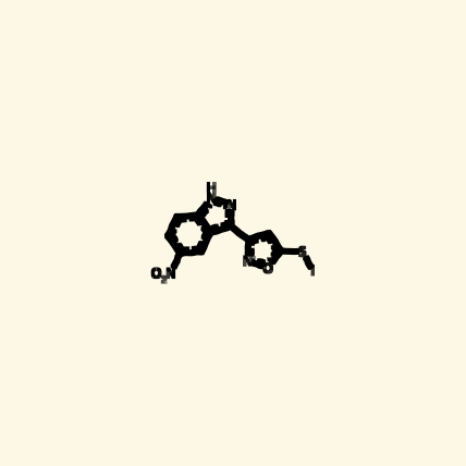 O=[N+]([O-])c1ccc2[nH]nc(-c3cc(SI)on3)c2c1